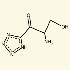 NC(CO)C(=O)c1nnn[nH]1